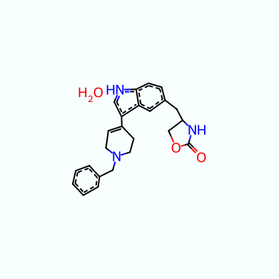 O.O=C1NC(Cc2ccc3[nH]cc(C4=CCN(Cc5ccccc5)CC4)c3c2)CO1